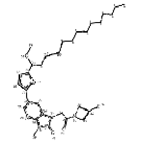 CCCCCCCCCCCCCC(OC)c1ccc(-c2cnc3c(c2)n(CC(=O)N2CC(F)C2)c(=O)n3C)s1